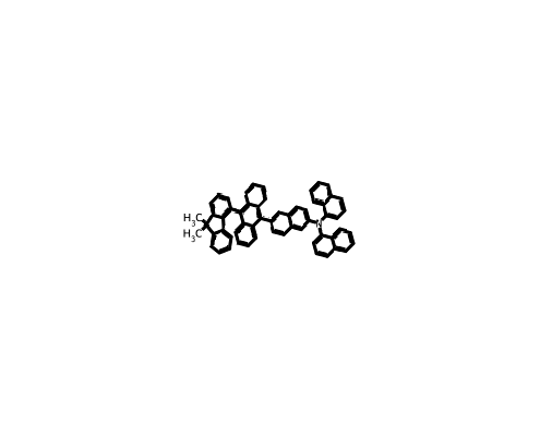 CC1(C)c2ccccc2-c2c(-c3c4ccccc4c(-c4ccc5cc(N(c6cccc7ccccc67)c6cccc7ccccc67)ccc5c4)c4ccccc34)cccc21